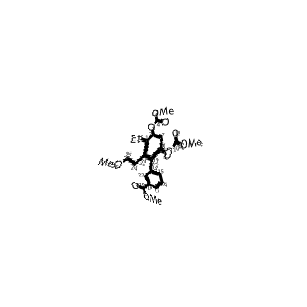 CCc1c(OC(=O)OC)cc(OC(=O)OC)c(-c2cccc(C(=O)OC)c2)c1CCOC